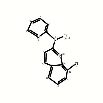 CN(c1ccccn1)c1ccc2cccc(Cl)c2n1